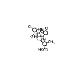 Cc1cc(C(=O)O)cc2c1nc1n2CC[C@H]2[C@@H]1[C@H](c1cccc(Cl)c1F)[C@]1(C(=O)Nc3cc(Cl)ccc31)N2CC1CC1